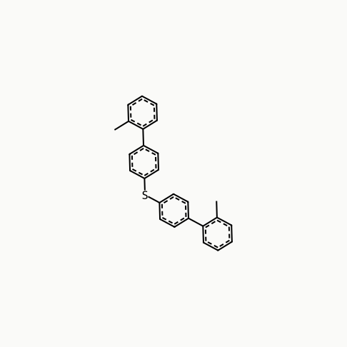 Cc1ccccc1-c1ccc(Sc2ccc(-c3ccccc3C)cc2)cc1